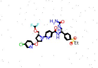 CCS(=O)(=O)c1ccc([C@H](CNC(N)=O)NC(=O)c2ccc(N3CC(Oc4ccc(Cl)cn4)C[C@H]3COC(F)F)nc2)cc1